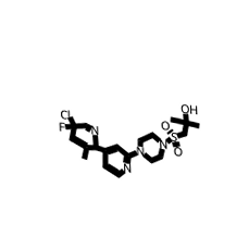 CC1=CC(F)(Cl)C=NC1c1ccnc(N2CCN(S(=O)(=O)CC(C)(C)O)CC2)c1